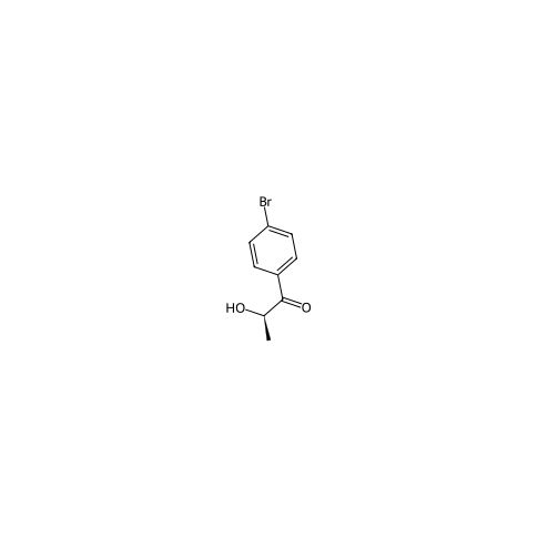 C[C@@H](O)C(=O)c1ccc(Br)cc1